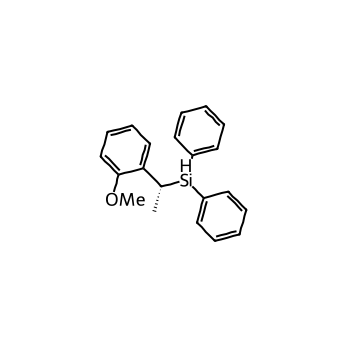 COc1ccccc1[C@@H](C)[SiH](c1ccccc1)c1ccccc1